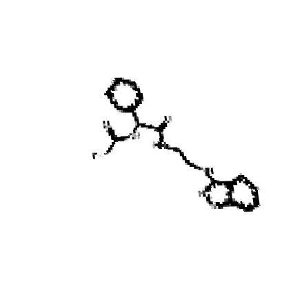 CCCC(=O)NC(C(=O)NCCNc1nsc2ccccc12)c1ccccc1